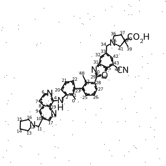 Cc1c(Nc2nccc3cc(CN4CCCC4)cnc23)cccc1-c1cccc(-c2nc3cc(CN4CCC(C)(C(=O)O)C4)cc(C#N)c3o2)c1C